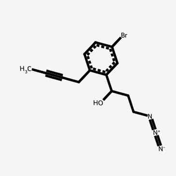 CC#CCc1ccc(Br)cc1C(O)CCN=[N+]=[N-]